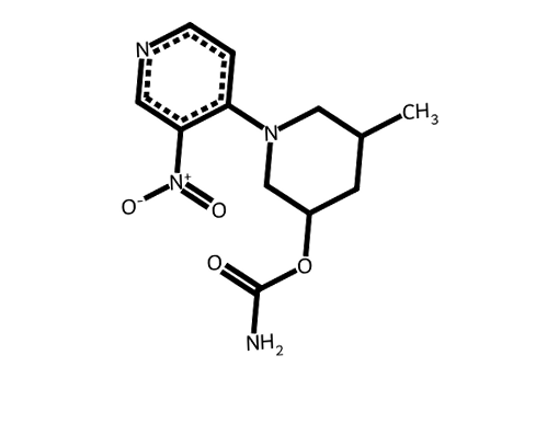 CC1CC(OC(N)=O)CN(c2ccncc2[N+](=O)[O-])C1